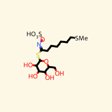 CSCCCCCC/C(=N\OS(=O)(=O)O)SC1OC(CO)C(O)C(O)C1O